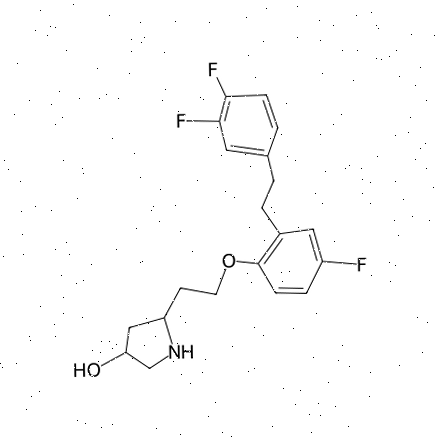 OC1CNC(CCOc2ccc(F)cc2CCc2ccc(F)c(F)c2)C1